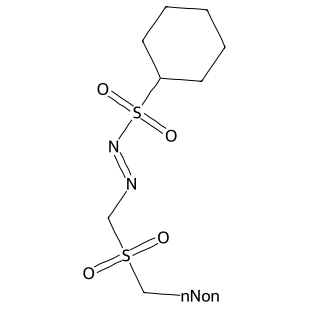 CCCCCCCCCCS(=O)(=O)CN=NS(=O)(=O)C1CCCCC1